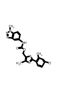 Cc1cc(Cl)ccc1-c1nc(C)c(COC(=O)Nc2ccc3c(c2)nnn3C)s1